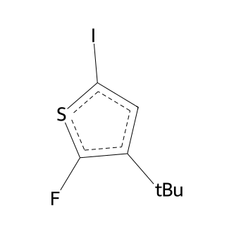 CC(C)(C)c1cc(I)sc1F